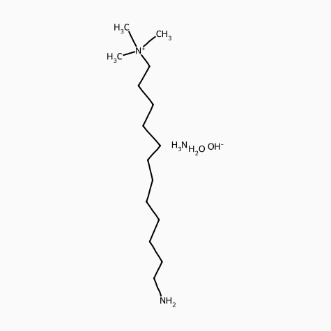 C[N+](C)(C)CCCCCCCCCCCCN.N.O.[OH-]